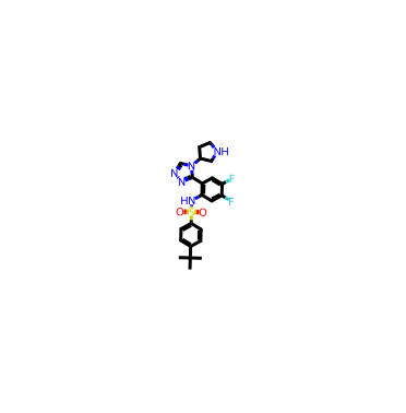 CC(C)(C)c1ccc(S(=O)(=O)Nc2cc(F)c(F)cc2-c2nncn2C2CCNC2)cc1